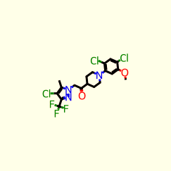 COc1cc(N2CCC(C(=O)Cn3nc(C(F)(F)F)c(Cl)c3C)CC2)c(Cl)cc1Cl